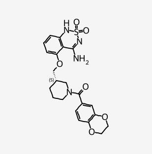 NC1=NS(=O)(=O)Nc2cccc(OC[C@H]3CCCN(C(=O)c4ccc5c(c4)OCCO5)C3)c21